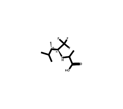 CC(N[C@@H]([C@@H](C)C(C)C)C(F)(F)F)C(=O)O